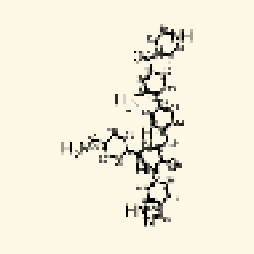 Cc1cc(C(=O)N2CCNCC2)ccc1-c1ccc(C[C@H](NC(=O)C2CCC(CN)CC2)C(=O)Nc2ccc3cn[nH]c3c2)cc1